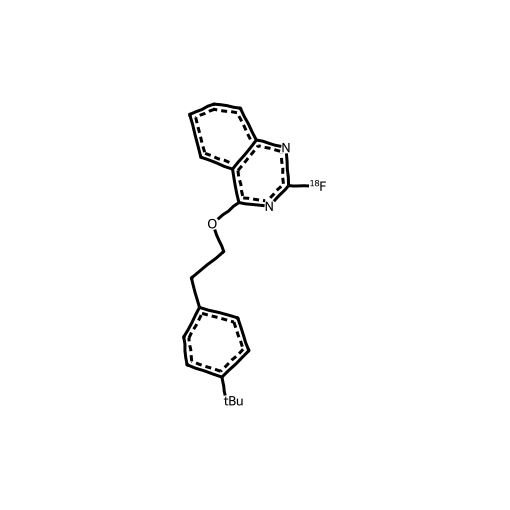 CC(C)(C)c1ccc(CCOc2nc([18F])nc3ccccc23)cc1